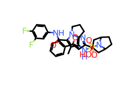 Cc1c(NS(=O)(=O)N2C3CCC2CC(O)(c2cc(-c4ccccc4)on2)C3)c2n(c1C(=O)Nc1ccc(F)c(F)c1)CCC2